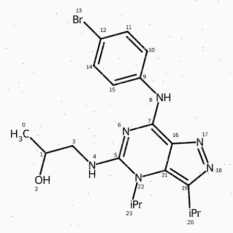 CC(O)CNc1nc(Nc2ccc(Br)cc2)c2nnc(C(C)C)c-2n1C(C)C